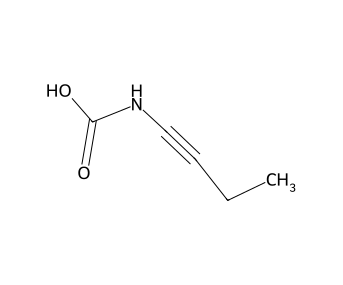 CCC#CNC(=O)O